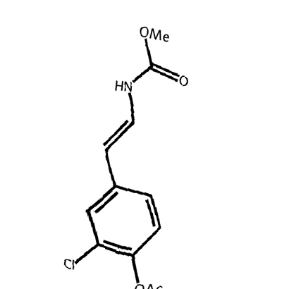 COC(=O)NC=Cc1ccc(OC(C)=O)c(Cl)c1